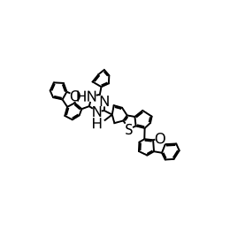 CC1(C2N=C(c3ccccc3)NC(c3cccc4c3oc3ccccc34)N2)C=Cc2c(sc3c(-c4cccc5c4oc4ccccc45)cccc23)C1